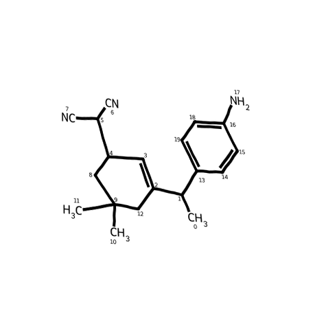 CC(C1=CC(C(C#N)C#N)CC(C)(C)C1)c1ccc(N)cc1